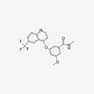 CNC(=O)c1cc(OC)cc(Oc2ccnc3ccc(C(F)(F)F)cc23)c1